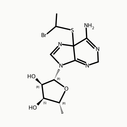 CC(Br)SC12N=CN([C@@H]3O[C@H](C)[C@@H](O)[C@H]3O)C1=NCN=C2N